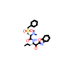 CCC[C@H](NC(=O)[C@H](CS(=O)(=O)Cc1ccccc1)N(C)C)C(=O)c1nc2ccccc2o1